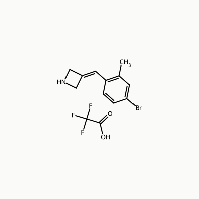 Cc1cc(Br)ccc1C=C1CNC1.O=C(O)C(F)(F)F